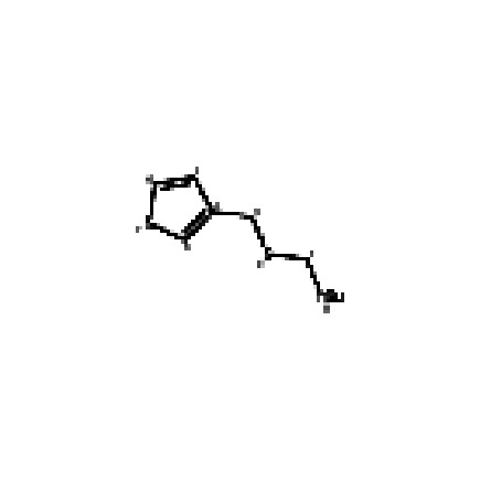 CCCCCSCc1ccsc1